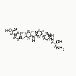 NCC(O)CNc1ccc(-c2ccnc(Nc3cccc(CN4CCN(CC(=O)O)CC4)c3)n2)cn1